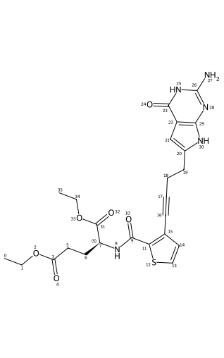 CCOC(=O)CC[C@H](NC(=O)c1sccc1C#CCCc1cc2c(=O)[nH]c(N)nc2[nH]1)C(=O)OCC